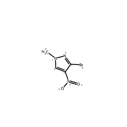 Cn1cc([N+](=O)[O-])c(Br)n1